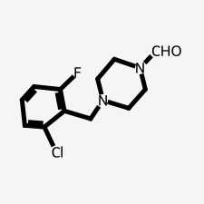 O=CN1CCN(Cc2c(F)cccc2Cl)CC1